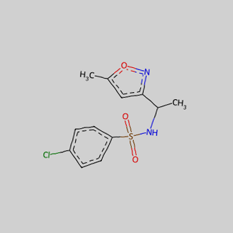 Cc1cc(C(C)NS(=O)(=O)c2ccc(Cl)cc2)no1